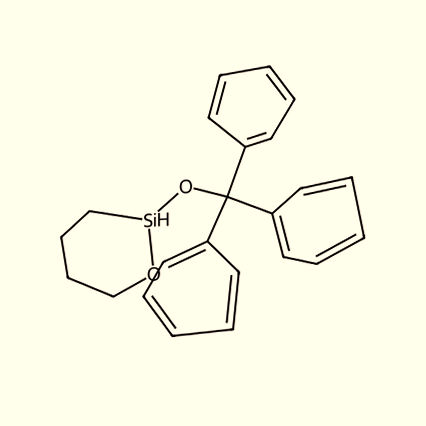 c1ccc(C(O[SiH]2CCCCO2)(c2ccccc2)c2ccccc2)cc1